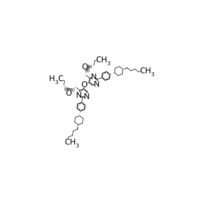 CCCCC[C@H]1CC[C@H](c2ccc(-c3ncc(Oc4cnc(-c5ccc([C@H]6CC[C@H](CCCCC)CC6)cc5)nc4C[C@@H]4O[C@@H]4CCC)c(C[C@@H]4O[C@@H]4CCC)n3)cc2)CC1